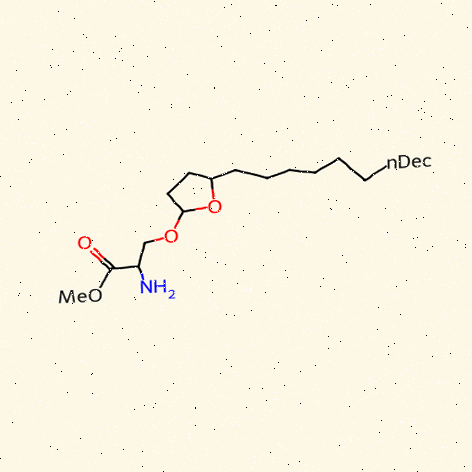 CCCCCCCCCCCCCCCCC1CCC(OCC(N)C(=O)OC)O1